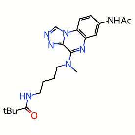 CC(=O)Nc1ccc2c(c1)nc(N(C)CCCCNC(=O)C(C)(C)C)c1nncn12